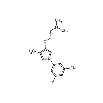 Cc1cn(-c2cc(F)cc(C#N)c2)nc1OCCN(C)C